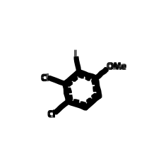 COc1ccc(Cl)c(Cl)c1I